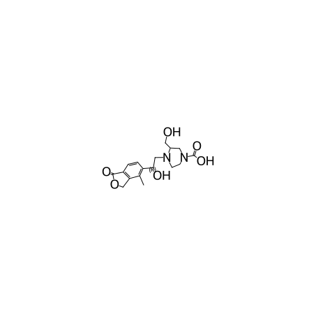 Cc1c([C@@H](O)CN2CCN(C(=O)O)CC2CO)ccc2c1COC2=O